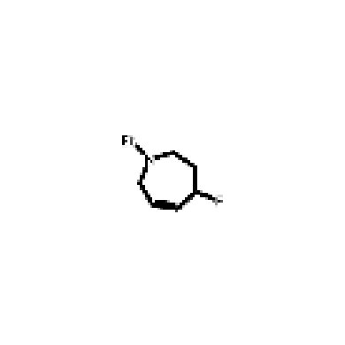 CCN1CC=CC(F)CC1